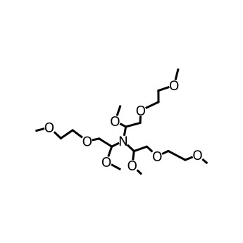 COCCOCC(OC)N(C(COCCOC)OC)C(COCCOC)OC